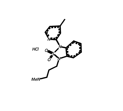 CNCCCN1c2ccccc2N(c2cc(C)ccn2)S1(=O)=O.Cl